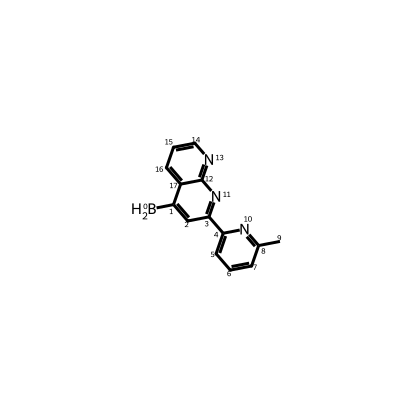 Bc1cc(-c2cccc(C)n2)nc2ncccc12